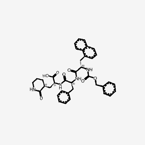 O=C(N[C@@H](Cc1cccc2ccccc12)C(=O)N[C@@H](Cc1ccccc1)C(=O)N[C@@H](C[C@@H]1CCCNC1=O)C(=O)O)OCc1ccccc1